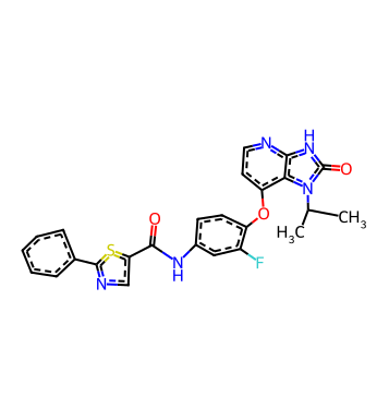 CC(C)n1c(=O)[nH]c2nccc(Oc3ccc(NC(=O)c4cnc(-c5ccccc5)s4)cc3F)c21